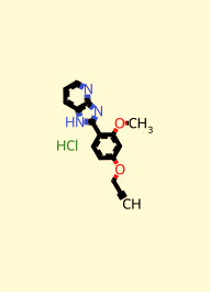 C#CCOc1ccc(-c2nc3ncccc3[nH]2)c(OC)c1.Cl